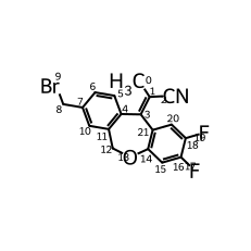 CC(C#N)=C1c2ccc(CBr)cc2COc2cc(F)c(F)cc21